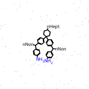 CCCCCCCCCC(c1ccc(N)cc1)c1ccc(C2(c3ccc(C(CCCCCCCCC)c4ccc(N)cc4)cc3)CCC(CCCCCCC)CC2)cc1